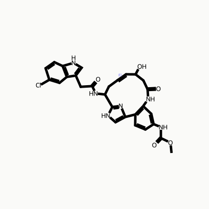 COC(=O)Nc1ccc2c(c1)NC(=O)CC(O)/C=C/CC(NC(=O)Cc1c[nH]c3ccc(Cl)cc13)c1nc-2c[nH]1